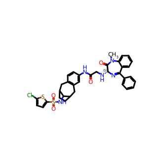 CN1C(=O)[C@@H](NCC(=O)Nc2ccc3c(c2)CC2CCC(C3)C2NS(=O)(=O)c2ccc(Cl)s2)N=C(c2ccccc2)c2ccccc21